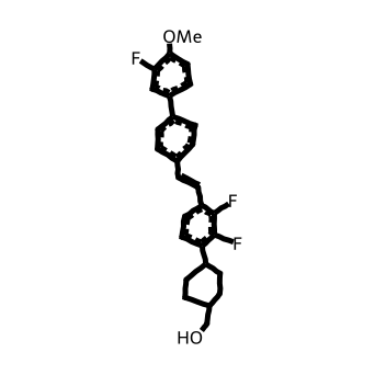 COc1ccc(-c2ccc(/C=C/c3ccc(C4CCC(CO)CC4)c(F)c3F)cc2)cc1F